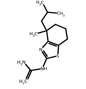 C=C(N)Nc1nc2c(s1)CCCC2(C)CC(C)C